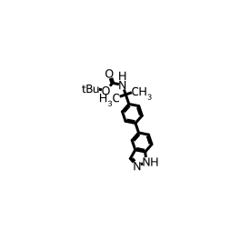 CC(C)(C)OC(=O)NC(C)(C)c1ccc(-c2ccc3[nH]ncc3c2)cc1